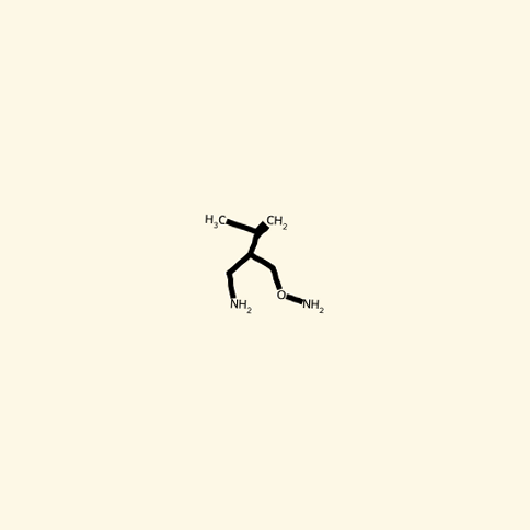 C=C(C)C(CN)CON